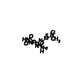 CC(c1cc(-c2cc(NC3CC3)n3ncc(/C=C4\NC(=O)NC4=O)c3n2)cs1)N1CCCC1